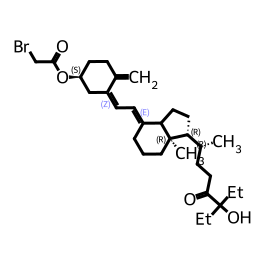 C=C1CC[C@H](OC(=O)CBr)C/C1=C/C=C1\CCC[C@@]2(C)C1CC[C@@H]2[C@H](C)CCC(=O)C(O)(CC)CC